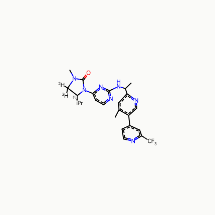 [2H]C1([2H])[C@H](C(C)C)N(c2ccnc(NC(C)c3cc(C)c(-c4ccnc(C(F)(F)F)c4)cn3)n2)C(=O)N1C